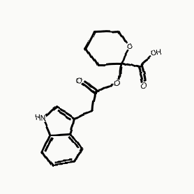 O=C(Cc1c[nH]c2ccccc12)OC1(C(=O)O)CCCCO1